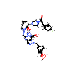 COc1ccc(Cn2ncc3nc(CN(CC4CC4)C(=O)CN4CCN(C(=O)c5ccc(F)cc5)CC4)[nH]c(=O)c32)cc1